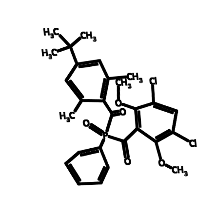 COc1c(Cl)cc(Cl)c(OC)c1C(=O)P(=O)(C(=O)c1c(C)cc(C(C)(C)C)cc1C)c1ccccc1